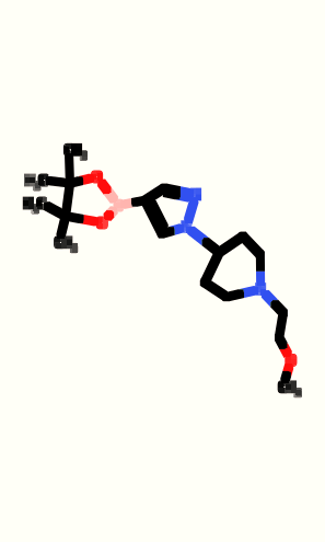 COCCN1CCC(n2cc(B3OC(C)(C)C(C)(C)O3)cn2)CC1